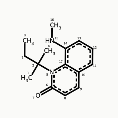 CCC(C)(C)n1c(=O)ccc2cccc(NC)c21